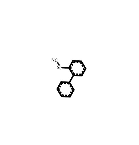 N#C[Se]c1ccccc1-c1ccccc1